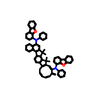 C=C1/C=C\C=C/CC2=C(/C=C\1N(c1ccccc1)c1cccc3c1oc1ccccc13)C(C)(C)c1c2ccc2c1C(C)(C)c1cc(N(c3ccccc3)c3cccc4c3oc3ccccc34)c3ccccc3c1-2